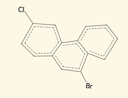 Clc1ccc2cc(Br)c3ccccc3c2c1